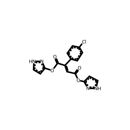 O=C(/C=C(/C(=O)Oc1cc[nH]n1)c1ccc(Cl)cc1)Oc1cc[nH]n1